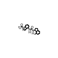 COC(=O)n1ncc2c(NC(=O)NC3CCc4cccc(C)c43)cccc21